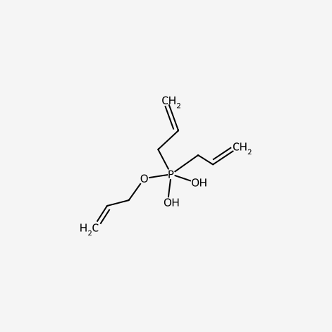 C=CCOP(O)(O)(CC=C)CC=C